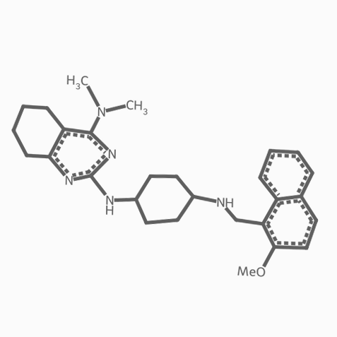 COc1ccc2ccccc2c1CNC1CCC(Nc2nc3c(c(N(C)C)n2)CCCC3)CC1